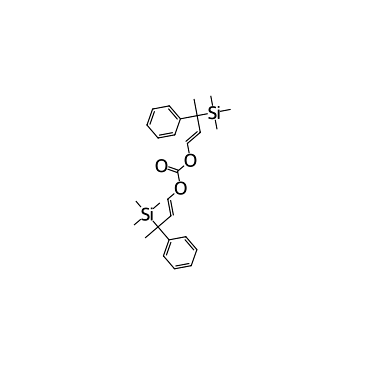 CC(C=COC(=O)OC=CC(C)(c1ccccc1)[Si](C)(C)C)(c1ccccc1)[Si](C)(C)C